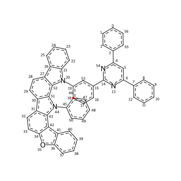 c1ccc(-c2cc(-c3ccccc3)nc(-c3cccc(-n4c5ccccc5c5ccc6c7ccc8oc9ccccc9c8c7n(-c7ccccc7)c6c54)c3)n2)cc1